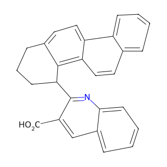 O=C(O)c1cc2ccccc2nc1C1CCCc2ccc3c(ccc4ccccc43)c21